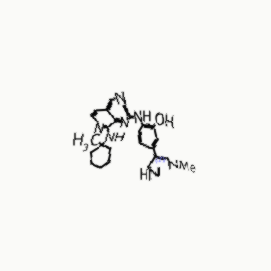 CN/C=C(\C=N)c1ccc(Nc2ncc3ccnc(NC4(C)CCCCC4)c3n2)c(O)c1